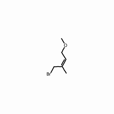 COCC=C(C)CBr